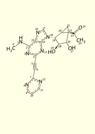 CNc1nc(C#Cc2ncccn2)nc2c1ncn2[C@@H]1C2C[C@]2(C(C)=O)C(O)[C@H]1O